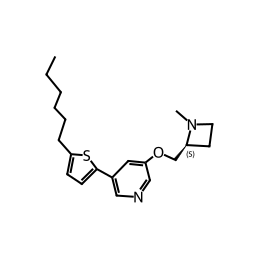 CCCCCCc1ccc(-c2cncc(OC[C@@H]3CCN3C)c2)s1